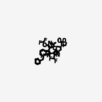 Cn1cc(-c2c3cccn(Cc4ccccc4)c-3nc2-c2c(C(F)F)nn3c2OC[C@@H](N2CCOC2=O)C3)c(OC(F)F)n1